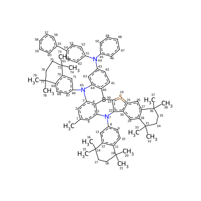 Cc1cc2c3c(c1)N(c1ccc4c(c1)C(C)(C)CCC4(C)C)c1c(sc4cc5c(cc14)C(C)(C)CCC5(C)C)B3c1ccc(N(c3ccccc3)c3ccc(-c4ccccc4)cc3)cc1N2c1ccc2c(c1)C(C)(C)CCC2(C)C